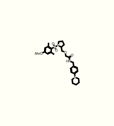 COc1cc(C)c(S(=O)(=O)N2CCCC2COCC(=O)NCc2ccc(N3CCCCC3)cc2)c(C)c1